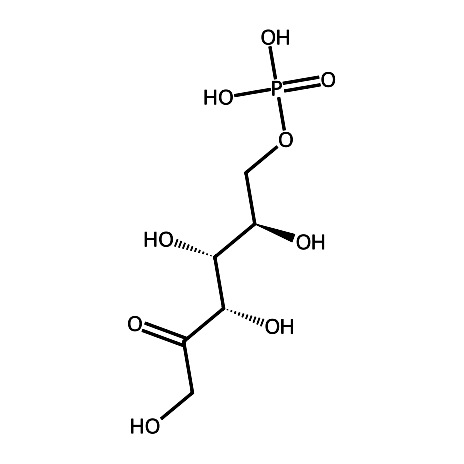 O=C(CO)[C@@H](O)[C@H](O)[C@H](O)COP(=O)(O)O